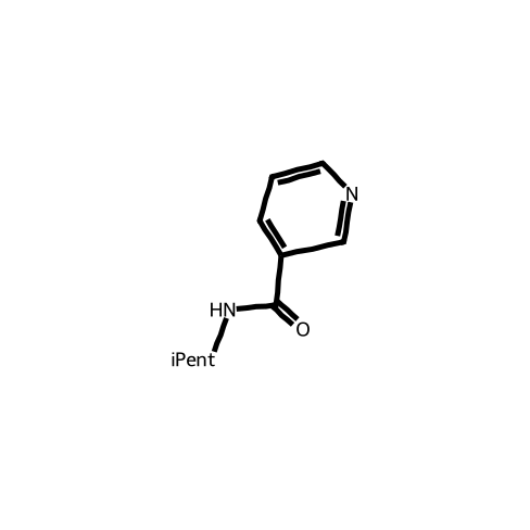 CCCC(C)NC(=O)c1cccnc1